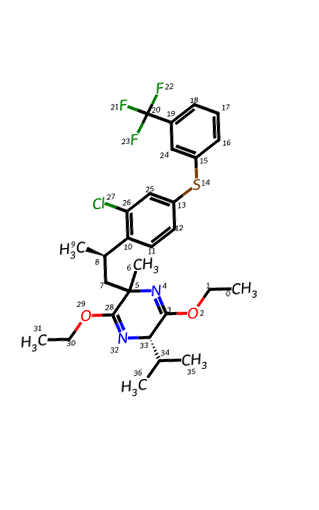 CCOC1=NC(C)(C[C@@H](C)c2ccc(Sc3cccc(C(F)(F)F)c3)cc2Cl)C(OCC)=N[C@H]1C(C)C